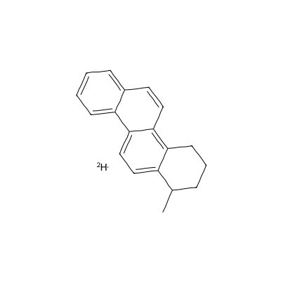 CC1CCCc2c1ccc1c2ccc2ccccc21.[2H]